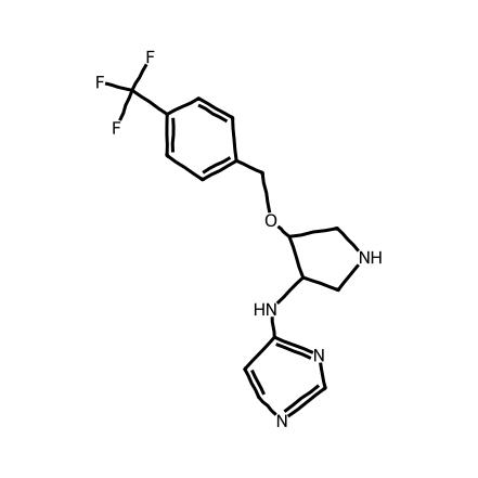 FC(F)(F)c1ccc(COC2CNCC2Nc2ccncn2)cc1